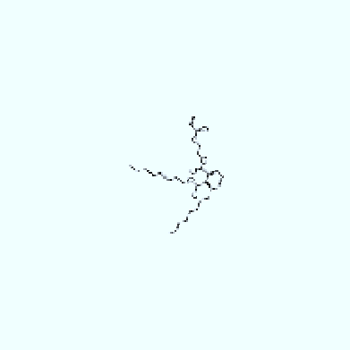 C=CC(=O)OCCOC(=O)c1cccc(CCCCCCCC)c1C(=O)OCCCCCCCC